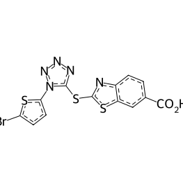 O=C(O)c1ccc2nc(Sc3nnnn3-c3ccc(Br)s3)sc2c1